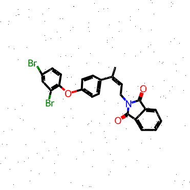 C/C(=C/CN1C(=O)c2ccccc2C1=O)c1ccc(Oc2ccc(Br)cc2Br)cc1